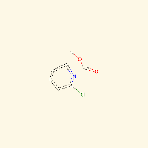 COC=O.Clc1ccccn1